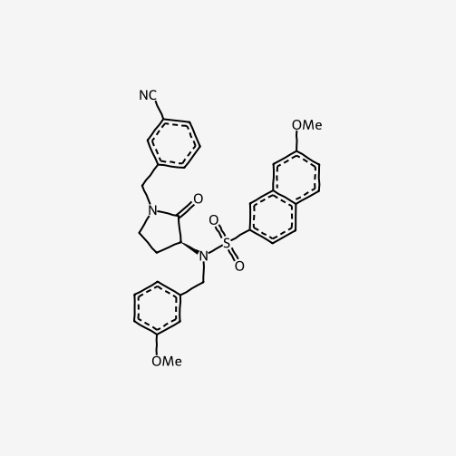 COc1cccc(CN([C@H]2CCN(Cc3cccc(C#N)c3)C2=O)S(=O)(=O)c2ccc3ccc(OC)cc3c2)c1